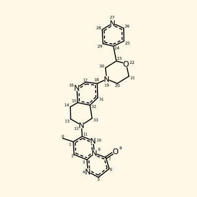 Cc1cc2nccc(=O)n2nc1N1CCc2ncc(N3CCOC(c4ccncc4)C3)cc2C1